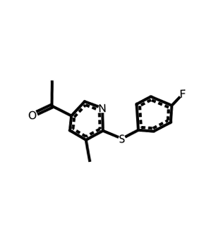 CC(=O)c1cnc(Sc2ccc(F)cc2)c(C)c1